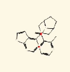 Cc1nccnc1C(=O)N1C2CCC1CN(c1ncnc3[nH]ccc13)C2